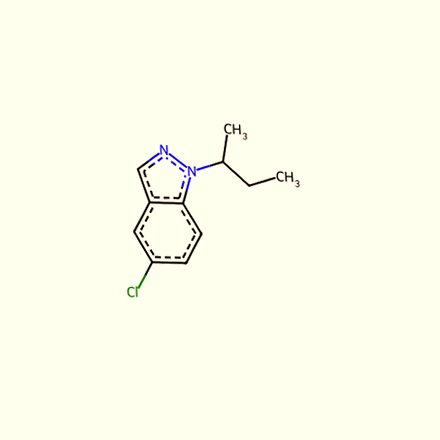 CCC(C)n1ncc2cc(Cl)ccc21